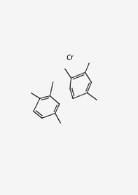 Cc1ccc(C)c(C)c1.Cc1ccc(C)c(C)c1.[Cr]